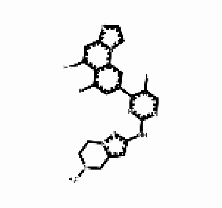 CN1CCn2nc(Nc3ncc(F)c(-c4cc(F)c5c(O)cc6nccn6c5c4)n3)cc2C1